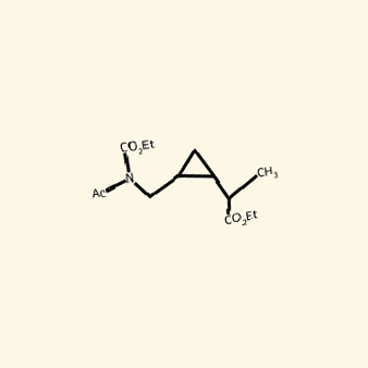 CCOC(=O)C(C)C1CC1CN(C(C)=O)C(=O)OCC